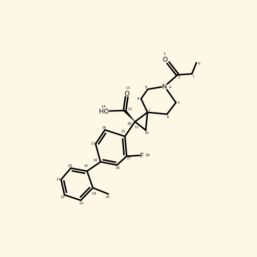 CCC(=O)N1CCC2(CC1)C[C@]2(C(=O)O)c1ccc(-c2ccccc2C)cc1F